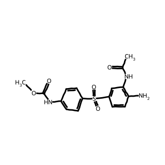 COC(=O)Nc1ccc(S(=O)(=O)c2ccc(N)c(NC(C)=O)c2)cc1